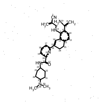 C=C(C#N)CNc1c(C(=C)N)ccc2c1C=C(c1cccc(C(=O)NC3CCC(N(C)C)CC3)n1)CC2